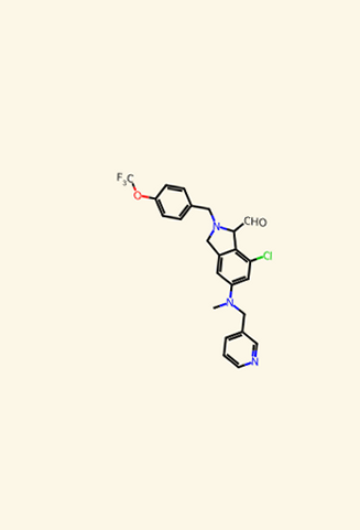 CN(Cc1cccnc1)c1cc(Cl)c2c(c1)CN(Cc1ccc(OC(F)(F)F)cc1)C2C=O